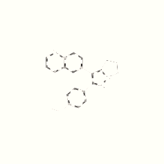 COc1ccc(-c2nn3c(c2-c2ccc4ncccc4c2)CCC3)cc1